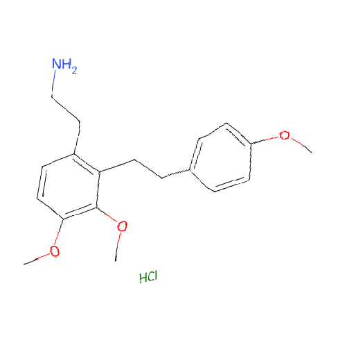 COc1ccc(CCc2c(CCN)ccc(OC)c2OC)cc1.Cl